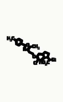 CCC(C(=O)O)C1CCc2cc(OCCc3nc(-c4ccc(C)cc4)oc3C)c(Cl)cc21